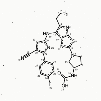 CCc1nc2sc(N3CCC(NC(=O)O)C3)nn2c1Nc1nc(-c2ccc(F)cc2)c(C#N)s1